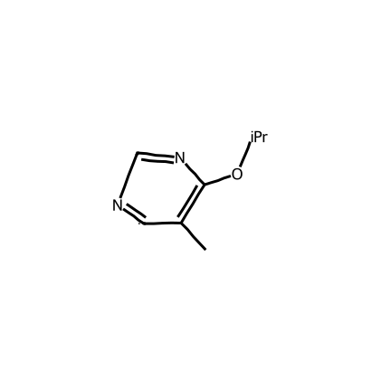 Cc1[c]ncnc1OC(C)C